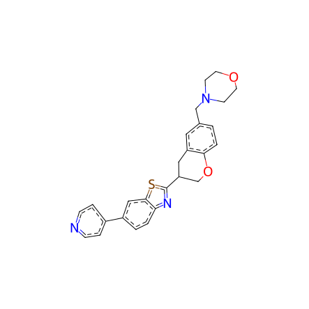 c1cc(-c2ccc3nc(C4COc5ccc(CN6CCOCC6)cc5C4)sc3c2)ccn1